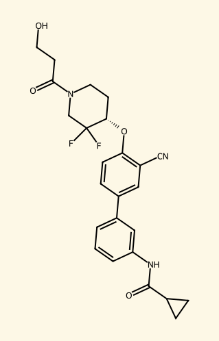 N#Cc1cc(-c2cccc(NC(=O)C3CC3)c2)ccc1O[C@H]1CCN(C(=O)CCO)CC1(F)F